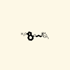 Cc1ccc2c(OCCCN(C)C)ccccc1-2